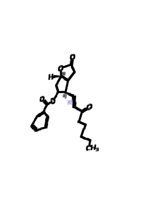 CCCCCC(=O)/C=C/[C@H]1C(OC(=O)c2ccccc2)C[C@@H]2OC(=O)CC12